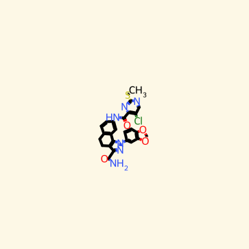 CSc1ncc(Cl)c(C(=O)Nc2ccc3c(c2)-c2c(c(C(N)=O)nn2-c2ccc4c(c2)OCO4)CC3)n1